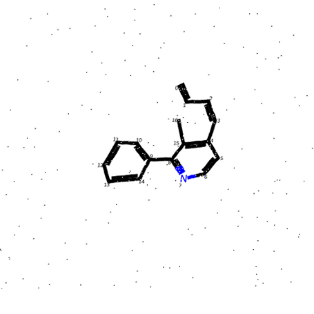 C=C/C=C\c1ccnc(-c2ccccc2)c1C